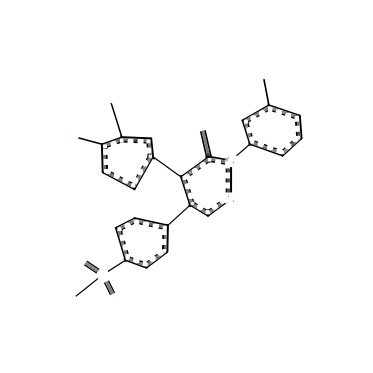 Cc1cc(-c2c(-c3ccc(S(C)(=O)=O)cc3)cnn(-c3cccc(Cl)c3)c2=O)ccc1F